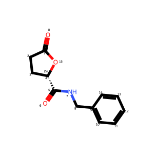 O=C1CC[C@@H](C(=O)NCc2ccccc2)O1